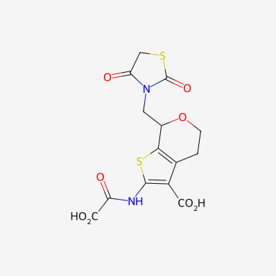 O=C(O)C(=O)Nc1sc2c(c1C(=O)O)CCOC2CN1C(=O)CSC1=O